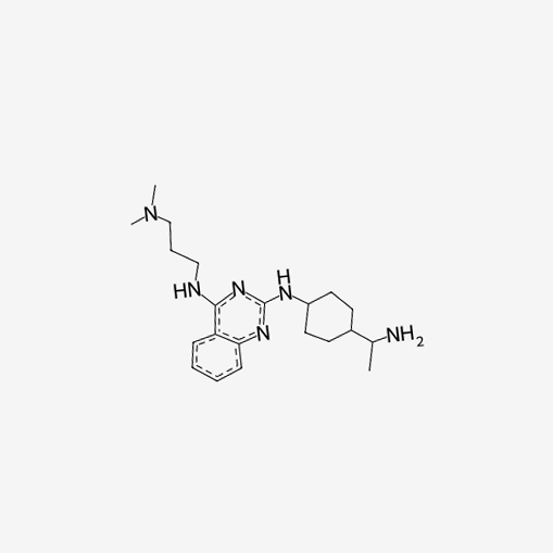 CC(N)C1CCC(Nc2nc(NCCCN(C)C)c3ccccc3n2)CC1